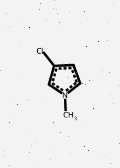 Cn1[c]cc(Cl)c1